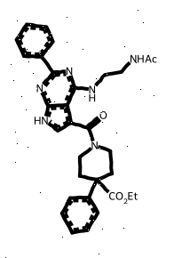 CCOC(=O)C1(c2ccccc2)CCN(C(=O)c2c[nH]c3nc(-c4ccccc4)nc(NCCNC(C)=O)c23)CC1